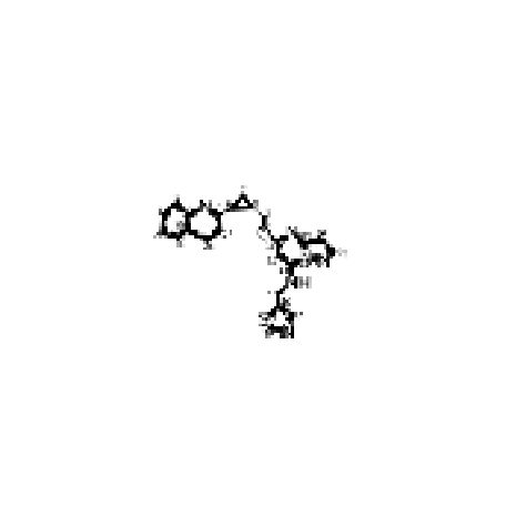 c1ccc2nc([C@H]3C[C@@H]3COc3cc(NCc4cncs4)n4nccc4n3)ccc2c1